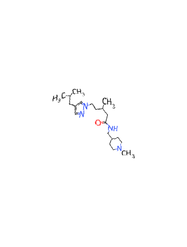 CC(C)Cc1cnn(CCC(C)CC(=O)NCC2CCN(C)CC2)c1